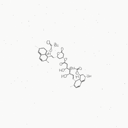 CC[C@H](C)C(=O)O[C@H]1C[C@H](O)C=C2C=C[C@H](C)[C@H](CC[C@@H](O)C[C@@H](O)CC(=O)O[C@H]3CC(=O)O[C@@H](CC[C@@H]4[C@@H]5C(=C[C@H](C)C[C@@H]5OC(=O)[C@@H](C)CC)C=C[C@@H]4C)C3)[C@H]21